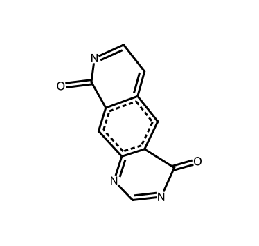 O=C1N=CC=c2cc3c(cc21)=NC=NC3=O